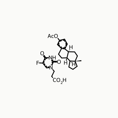 CC(=O)Oc1ccc2c(c1)CC[C@@H]1[C@@H]2CC[C@]2(C)CCC[C@@H]12.O=C(O)CCn1cc(F)c(=O)[nH]c1=O